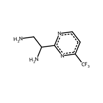 NCC(N)c1nccc(C(F)(F)F)n1